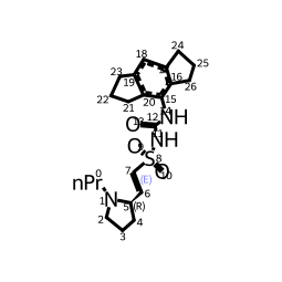 CCCN1CCC[C@@H]1/C=C/S(=O)(=O)NC(=O)Nc1c2c(cc3c1CCC3)CCC2